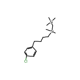 C[Si](C)(C)C[Si](C)(C)CCCCc1ccc(Cl)cc1